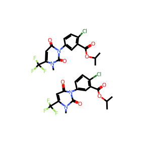 CC(C)OC(=O)c1cc(-n2c(=O)cc(C(F)(F)F)n(C)c2=O)ccc1Cl.CC(C)OC(=O)c1cc(-n2c(=O)cc(C(F)(F)F)n(C)c2=O)ccc1Cl